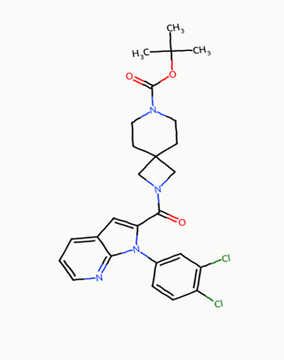 CC(C)(C)OC(=O)N1CCC2(CC1)CN(C(=O)c1cc3cccnc3n1-c1ccc(Cl)c(Cl)c1)C2